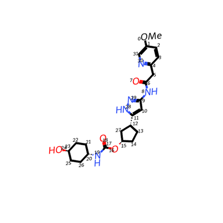 COc1ccc(CC(=O)Nc2cc([C@@H]3CC[C@H](OC(=O)N[C@H]4CC[C@H](O)CC4)C3)[nH]n2)nc1